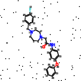 O=C(CN1CCCN(Cc2ccc(F)cc2)CC1)Nc1ccc(Oc2ccccc2)cc1